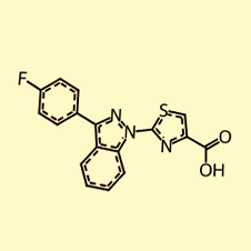 O=C(O)c1csc(-n2nc(-c3ccc(F)cc3)c3ccccc32)n1